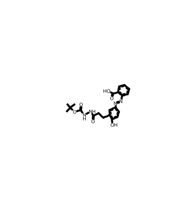 CC(C)(C)OC(=O)NNC(=O)CCc1cc(N=Nc2ccccc2C(=O)O)ccc1O